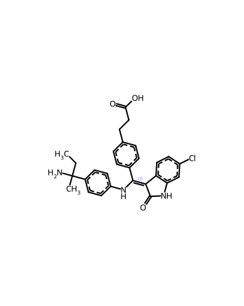 CCC(C)(N)c1ccc(N/C(=C2\C(=O)Nc3cc(Cl)ccc32)c2ccc(CCC(=O)O)cc2)cc1